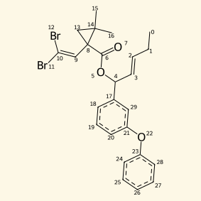 CCC=CC(OC(=O)C1(C=C(Br)Br)CC1(C)C)c1cccc(Oc2ccccc2)c1